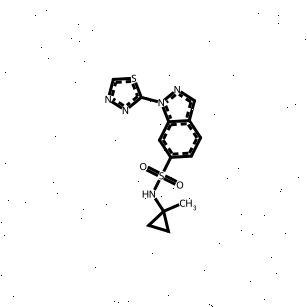 CC1(NS(=O)(=O)c2ccc3cnn(-c4nncs4)c3c2)CC1